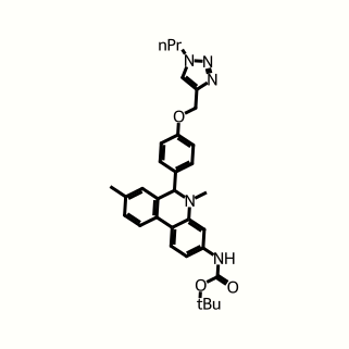 CCCn1cc(COc2ccc(C3c4cc(C)ccc4-c4ccc(NC(=O)OC(C)(C)C)cc4N3C)cc2)nn1